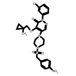 CC1(COc2c(N3CCN(S(=O)(=O)Cc4ccc([N+](=O)[O-])cc4)CC3)cnn(-c3cccc(Cl)c3)c2=O)CC1